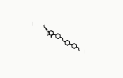 CCCCOc1ccc(C2CCC(CCC3CCC(C4CCC(CCC)CC4)CC3)CC2)c(F)c1Cl